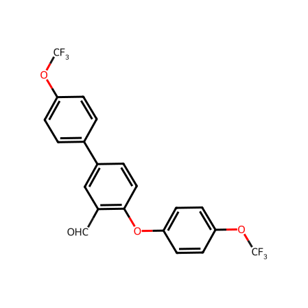 O=Cc1cc(-c2ccc(OC(F)(F)F)cc2)ccc1Oc1ccc(OC(F)(F)F)cc1